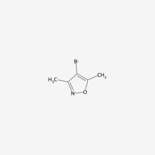 [B]c1c(C)noc1C